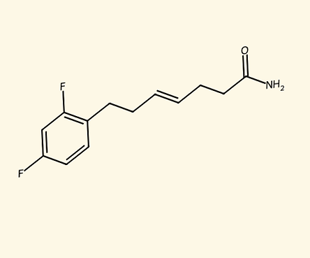 NC(=O)CCC=CCCc1ccc(F)cc1F